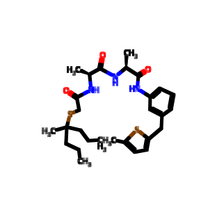 CCCC(C)(CCC)SCC(=O)N[C@@H](C)C(=O)N[C@@H](C)C(=O)Nc1cccc(Cc2ccc(C)s2)c1